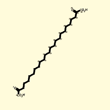 O=C(O)C(=O)CCCCCCCCCCCCCCCCCCCCCC(=O)C(=O)O